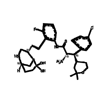 CC1(C)CC([C@H](c2ccc(Cl)cc2)[C@H](N)C(=O)Nc2cccc(F)c2CC[C@H]2CN[C@@H]3CCS(O)(O)N2C3)CCO1